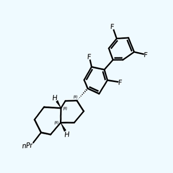 CCCC1CC[C@@H]2C[C@H](c3cc(F)c(-c4cc(F)cc(F)c4)c(F)c3)CC[C@@H]2C1